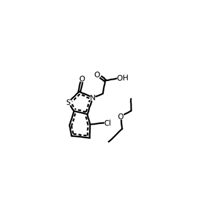 CCOCC.O=C(O)Cn1c(=O)sc2cccc(Cl)c21